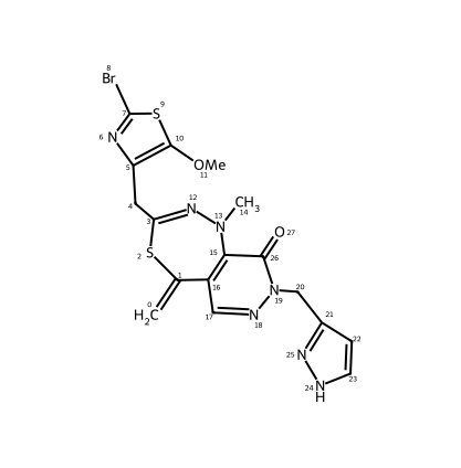 C=C1SC(Cc2nc(Br)sc2OC)=NN(C)c2c1cnn(Cc1cc[nH]n1)c2=O